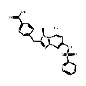 Cl.Cn1c(Cc2ccc(C(=N)N)cc2)nc2cc(NS(=O)(=O)c3ccccc3)ccc21